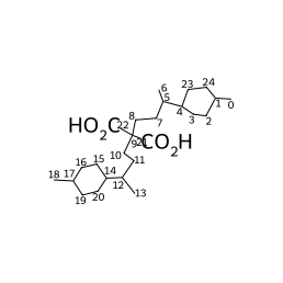 CC1CCC(C(C)CCC(CCC(C)C2CCC(C)CC2)(C(=O)O)C(=O)O)CC1